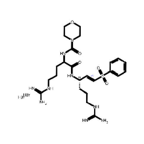 Br.Br.N=C(N)NCCCC(NC(=O)N1CCOCC1)C(=O)N[C@H](/C=C/S(=O)(=O)c1ccccc1)CCCNC(=N)N